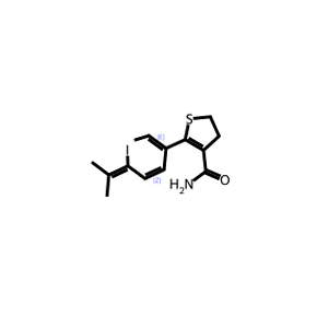 C/C=C(\C=C/C(I)=C(C)C)C1=C(C(N)=O)CCS1